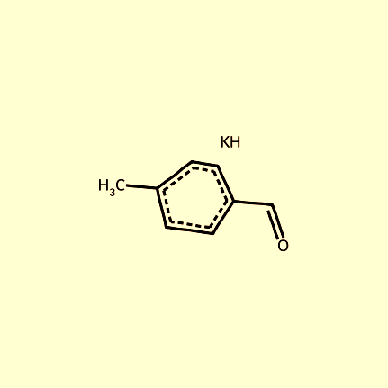 Cc1ccc(C=O)cc1.[KH]